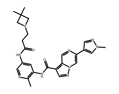 Cc1ncc(NC(=O)CCN2CC(C)(C)C2)cc1NC(=O)c1cnn2cc(-c3cnn(C)c3)ncc12